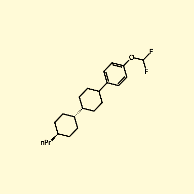 CCC[C@H]1CC[C@H](C2CCC(c3ccc(OC(F)F)cc3)CC2)CC1